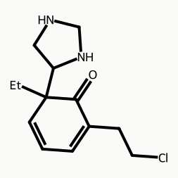 CCC1(C2CNCN2)C=CC=C(CCCl)C1=O